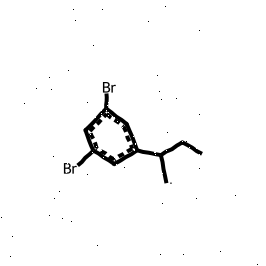 [CH2]C(CC)c1cc(Br)cc(Br)c1